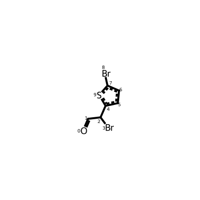 O=CC(Br)c1ccc(Br)s1